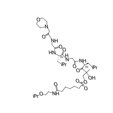 CC(C)C[C@H](NC(=O)CNC(=O)CN1CCOCC1)C(=O)NCC(=O)N[C@@H](CC(C)C)C(=O)C(C)(O)COS(=O)(=O)CCCCCC(=O)NCCOC(C)C